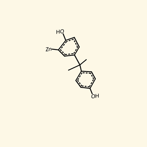 CC(C)(c1ccc(O)cc1)c1ccc(O)[c]([Zn])c1